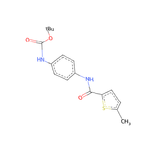 Cc1ccc(C(=O)Nc2ccc(NC(=O)OC(C)(C)C)cc2)s1